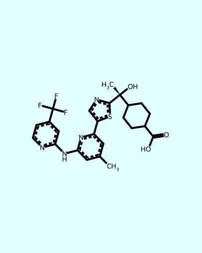 Cc1cc(Nc2cc(C(F)(F)F)ccn2)nc(-c2cnc([C@](C)(O)C3CCC(C(=O)O)CC3)s2)c1